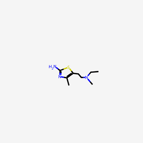 CCN(C)CCc1sc(N)nc1C